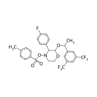 Cc1ccc(S(=O)(=O)ON2CCOC(OC(C)c3cc(C(F)(F)F)cc(C(F)(F)F)c3)C2c2ccc(F)cc2)cc1